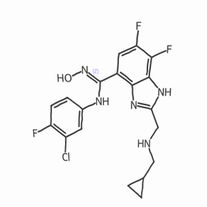 O/N=C(\Nc1ccc(F)c(Cl)c1)c1cc(F)c(F)c2[nH]c(CNCC3CC3)nc12